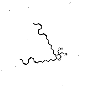 CC/C=C\C/C=C\C/C=C\CCCCCCCN1C(CCCCCC/C=C\C/C=C\C/C=C\CC)OCC1(CO)CO